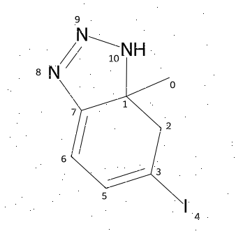 CC12CC(I)=CC=C1N=NN2